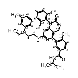 CCN(CCNc1nc(-c2cc(C(=O)NC(C)C)ccc2C)c2c(n1)N(c1c(F)cccc1F)C(=O)NC2)c1cccc(C)c1